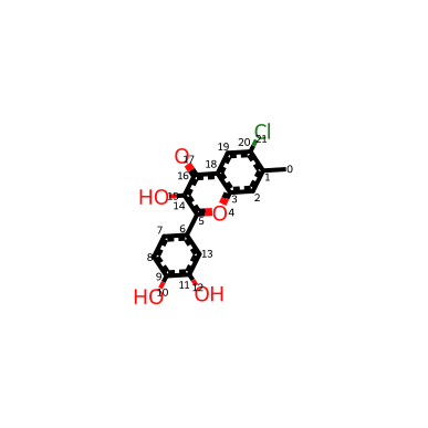 Cc1cc2oc(-c3ccc(O)c(O)c3)c(O)c(=O)c2cc1Cl